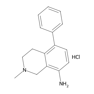 CN1CCc2c(-c3ccccc3)ccc(N)c2C1.Cl